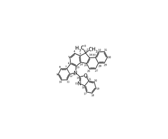 CC1(C)c2ccc3c4ccccc4n(-c4nc5ccccc5o4)c3c2-c2ccc3ccccc3c21